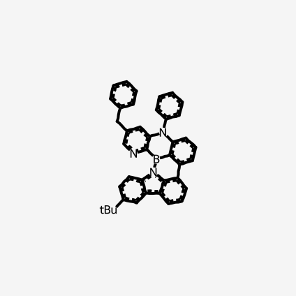 CC(C)(C)c1ccc2c(c1)c1cccc3c1n2B1c2ncc(Cc4ccccc4)cc2N(c2ccccc2)c2cccc-3c21